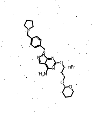 CCC[C@H](CCOC1CCCCO1)Oc1nc(N)c2cnn(Cc3ccc(CN4CCCC4)cc3)c2n1